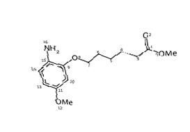 COC(=O)CCCCCOc1cc(OC)ccc1N